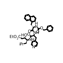 CCOC(=O)C[C@H](O)[C@H](CC(C)C)NC(=O)C(Cc1ccncc1)NC(=O)[C@H](Cc1cccc2ccccc12)NC(=O)OCc1ccccc1